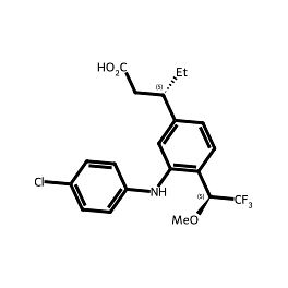 CC[C@@H](CC(=O)O)c1ccc([C@H](OC)C(F)(F)F)c(Nc2ccc(Cl)cc2)c1